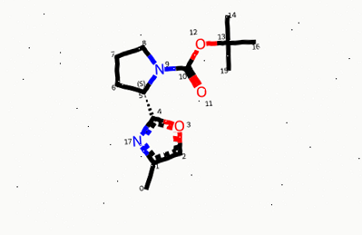 Cc1coc([C@@H]2CCCN2C(=O)OC(C)(C)C)n1